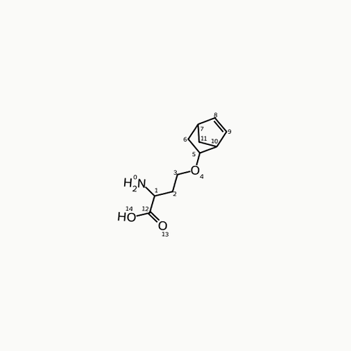 NC(CCOC1CC2C=CC1C2)C(=O)O